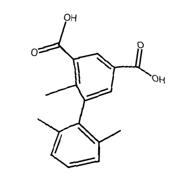 Cc1cccc(C)c1-c1cc(C(=O)O)cc(C(=O)O)c1C